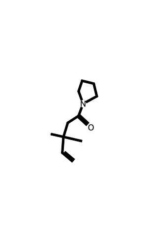 C=CC(C)(C)CC(=O)N1CCCC1